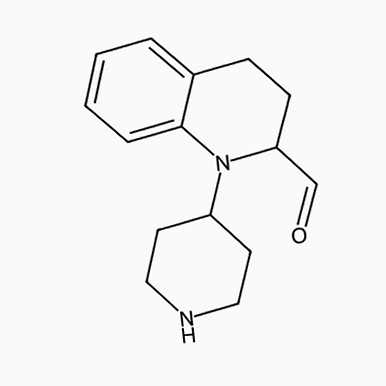 O=CC1CCc2ccccc2N1C1CCNCC1